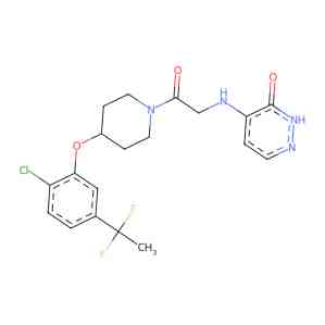 CC(F)(F)c1ccc(Cl)c(OC2CCN(C(=O)CNc3ccn[nH]c3=O)CC2)c1